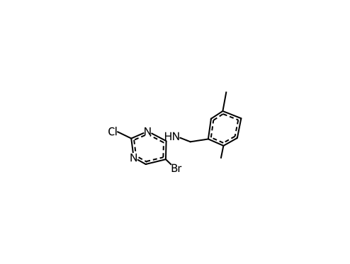 Cc1ccc(C)c(CNc2nc(Cl)ncc2Br)c1